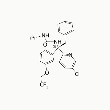 CC(C)NC(=O)N[C@@](Cc1ccccc1)(c1cccc(OCC(F)(F)F)c1)c1ccc(Cl)cn1